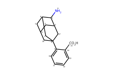 NC1C2CC3CC1CC(c1ccccc1C(=O)O)(C3)C2